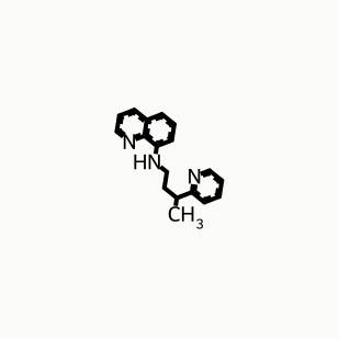 CC(CCNc1cccc2cccnc12)c1ccccn1